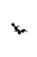 CC(C)c1cc(S(=O)(=O)NC(=O)c2ccccc2Oc2cnc3[nH]ccc3c2)cnc1OCC1CCOCC1